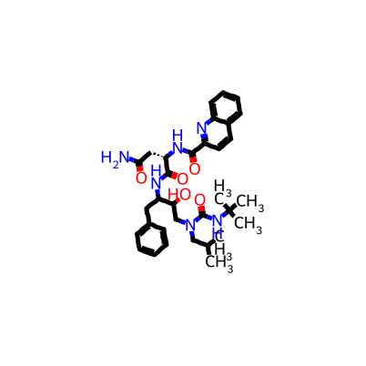 CC(C)CN(CC(O)C(Cc1ccccc1)NC(=O)[C@H](CC(N)=O)NC(=O)c1ccc2ccccc2n1)C(=O)NC(C)(C)C